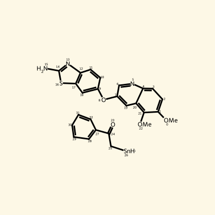 COc1ccc2ncc(Oc3ccc4nc(N)sc4c3)cc2c1OC.O=C([CH2][SnH])c1ccccc1